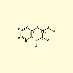 CCC(C)N(CC)Cc1ccccc1